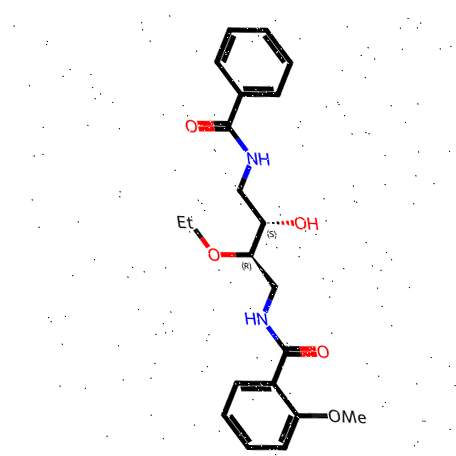 CCO[C@H](CNC(=O)c1ccccc1OC)[C@@H](O)CNC(=O)c1ccccc1